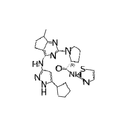 CC1CCc2c(Nc3cc(C4CCCC4)[nH]n3)nc(N3CCC[C@@H]3C(=O)Nc3nccs3)nc21